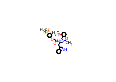 COc1ccccc1CN(CC(Cc1c[nH]c2ccccc12)NC(=O)COc1ccc(S(C)(=O)=O)cc1)C(C)=O